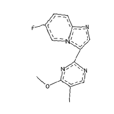 COc1nc(-c2cnc3ccc(F)cn23)ncc1C